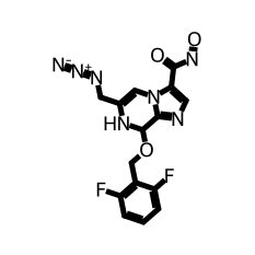 [N-]=[N+]=NCC1=Cn2c(C(=O)N=O)cnc2C(OCc2c(F)cccc2F)N1